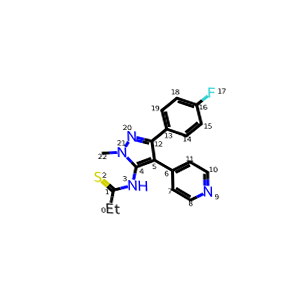 CCC(=S)Nc1c(-c2ccncc2)c(-c2ccc(F)cc2)nn1C